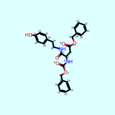 O=C(CC(NC(=O)OCc1ccccc1)C(=O)NCCc1ccc(O)cc1)OCc1ccccc1